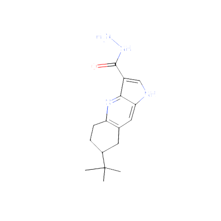 CC(C)(C)C1CCc2nc3c(C(=O)NN)c[nH]c3cc2C1